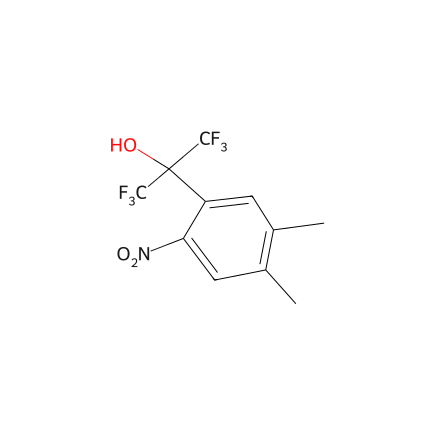 Cc1cc([N+](=O)[O-])c(C(O)(C(F)(F)F)C(F)(F)F)cc1C